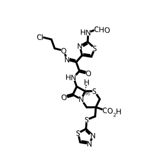 O=CNc1nc(C(=NOCCCl)C(=O)NC2C(=O)N3CC(CSc4nncs4)(C(=O)O)CS[C@H]23)cs1